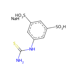 NC(=S)Nc1cc(S(=O)(=O)O)cc(S(=O)(=O)O)c1.[NaH]